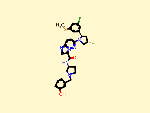 CSc1cc(F)cc([C@H]2C[C@H](F)CN2c2ccc3ncc(C(=O)N[C@H]4CCN(Cc5cccc(O)c5)C4)n3n2)c1